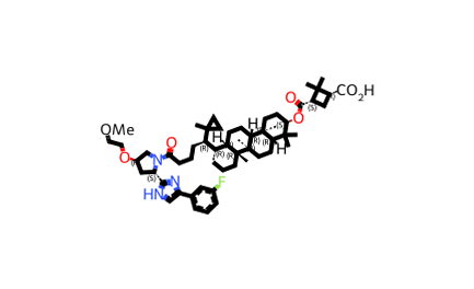 COCCO[C@@H]1C[C@@H](c2nc(-c3cccc(F)c3)c[nH]2)N(C(=O)CCC[C@H]([C@H]2CCC[C@]3(C)[C@@H]2CC[C@@H]2[C@@]4(C)CC[C@H](OC(=O)[C@H]5C[C@@H](C(=O)O)C5(C)C)C(C)(C)[C@@H]4CC[C@]23C)C2(C)CC2)C1